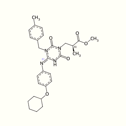 COC(=O)[C@@H](C)Cn1c(=O)[nH]/c(=N\c2ccc(OC3CCCCC3)cc2)n(Cc2ccc(C)cc2)c1=O